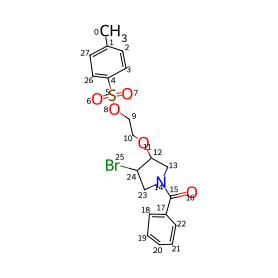 Cc1ccc(S(=O)(=O)OCCOC2CN(C(=O)c3ccccc3)CC2Br)cc1